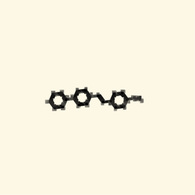 [SiH3]c1ccc(C=Cc2ccc(-c3ccccc3)cc2)cc1